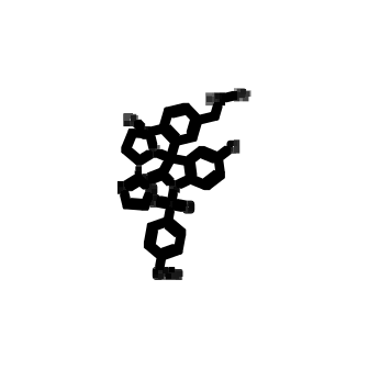 CCOc1ccc(CNC(C)C)cc1C1(N2CCC[C@H]2c2ncco2)C(=O)N(S(=O)(=O)c2ccc(OC)cc2)c2ccc(Cl)cc21